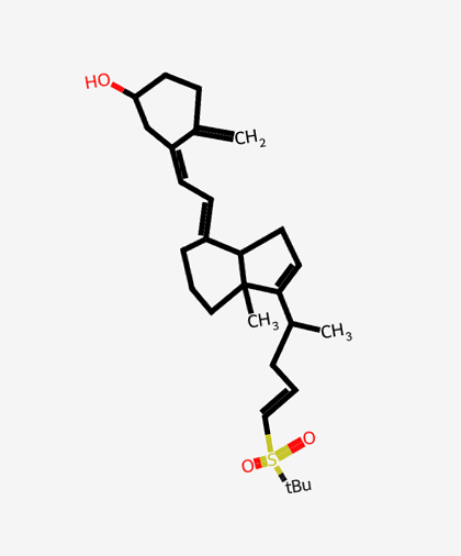 C=C1CCC(O)C/C1=C/C=C1\CCCC2(C)C(C(C)C/C=C/S(=O)(=O)C(C)(C)C)=CCC12